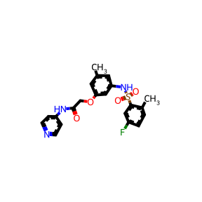 Cc1cc(NS(=O)(=O)c2cc(F)ccc2C)cc(OCC(=O)Nc2ccncc2)c1